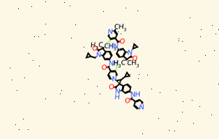 CC1(C)C(=O)N(CC2CC2)c2cc(NC(=O)c3ccncc3F)ccc21.Cc1cc(C(=O)Nc2ccc3c(c2)N(C2CC2)C(=O)C3(C)C)c(F)cn1.O=C(Nc1ccc2c(c1)NC(=O)[C@@]21CC1C1CC1)c1ccncc1